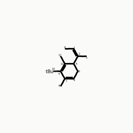 C/C=C(/C)C1CC=C(C)C(C(C)(C)C)=C1C